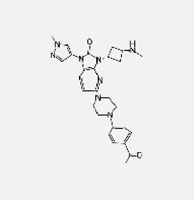 CN[C@H]1C[C@H](n2c(=O)n(-c3cnn(C)c3)c3ccc(N4CCN(c5ccc(C(C)=O)cc5)CC4)nc32)C1